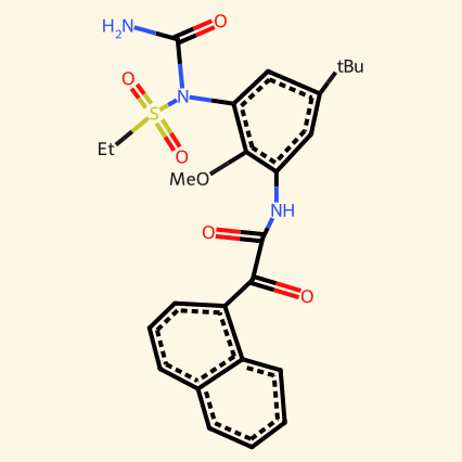 CCS(=O)(=O)N(C(N)=O)c1cc(C(C)(C)C)cc(NC(=O)C(=O)c2cccc3ccccc23)c1OC